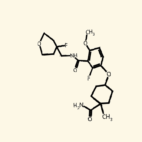 COc1ccc(OC2CCC(C)(C(N)=O)CC2)c(F)c1C(=O)N[CH]C1(F)CCOCC1